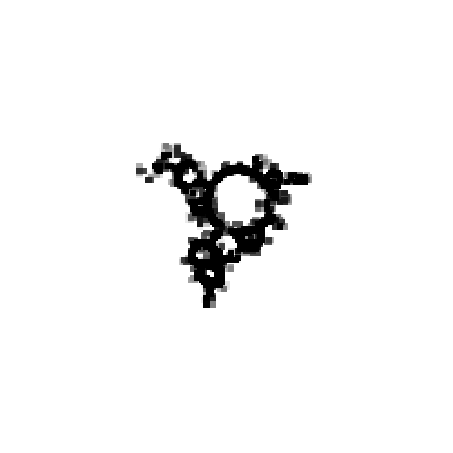 COC[C@@H]1[C@@H](C)CCC[C@H]([C@H]2OC[C@H](N(C)C)CO2)[C@@H]2CC[C@H]2CN2C[C@@]3(CCCc4cc(Cl)ccc43)COc3ccc(cc32)C(=O)NS1(=O)=O